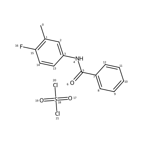 Cc1cc(NC(=O)c2ccccc2)ccc1F.O=S(=O)(Cl)Cl